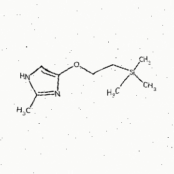 Cc1nc(OCC[Si](C)(C)C)c[nH]1